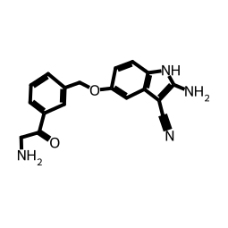 N#Cc1c(N)[nH]c2ccc(OCc3cccc(C(=O)CN)c3)cc12